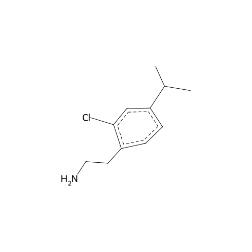 CC(C)c1ccc(CCN)c(Cl)c1